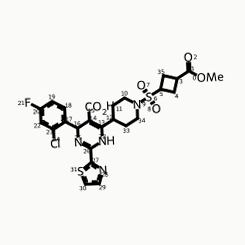 COC(=O)C1CC(S(=O)(=O)N2CCC(C3=C(C(=O)O)C(c4ccc(F)cc4Cl)N=C(c4nccs4)N3)CC2)C1